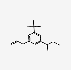 C=CCc1[c]c(C(C)(C)C)cc(C(C)CC)c1